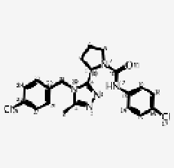 Cc1nnc([C@H]2CCCN2C(=O)Nc2ccc(Cl)cc2)n1Cc1ccc(Cl)cc1